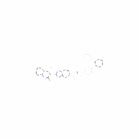 CN(C(=O)CN1CCC(c2ccccc2N2CCCC2)CC1)c1ccc2nc(-c3c(N)c4c(F)cccc4[nH]c3=O)[nH]c2c1